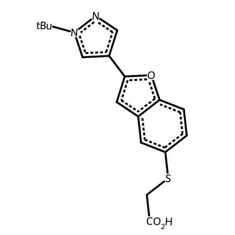 CC(C)(C)n1cc(-c2cc3cc(SCC(=O)O)ccc3o2)cn1